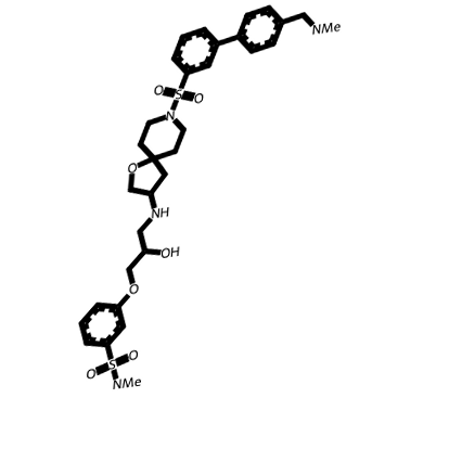 CNCc1ccc(-c2cccc(S(=O)(=O)N3CCC4(CC3)CC(NCC(O)COc3cccc(S(=O)(=O)NC)c3)CO4)c2)cc1